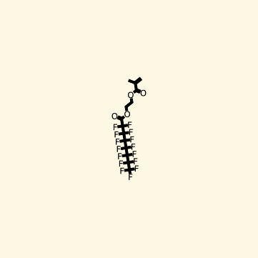 C=C(C)C(=O)OCCOC(=O)C(F)(F)C(F)(F)C(F)(F)C(F)(F)C(F)(F)C(F)(F)C(F)(F)F